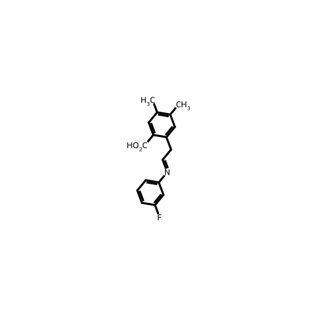 Cc1cc(CC=Nc2cccc(F)c2)c(C(=O)O)cc1C